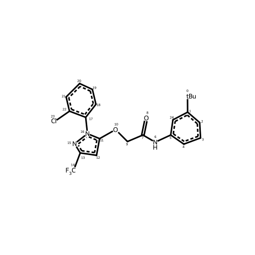 CC(C)(C)c1cccc(NC(=O)COc2cc(C(F)(F)F)nn2-c2ccccc2Cl)c1